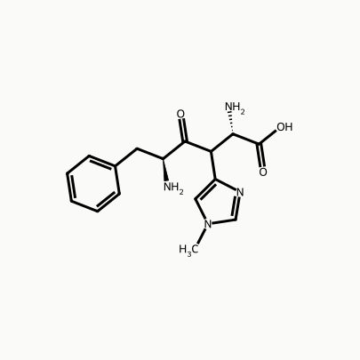 Cn1cnc(C(C(=O)[C@@H](N)Cc2ccccc2)[C@H](N)C(=O)O)c1